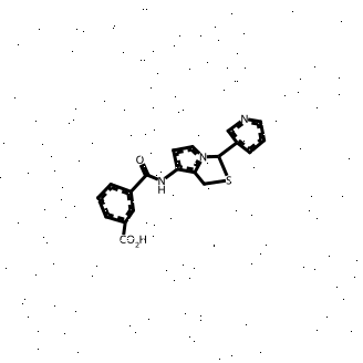 O=C(O)c1cccc(C(=O)Nc2ccn3c2CSC3c2cccnc2)c1